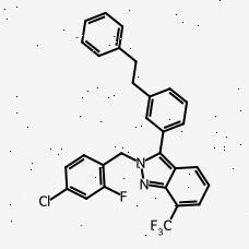 Fc1cc(Cl)ccc1Cn1nc2c(C(F)(F)F)cccc2c1-c1cccc(CCc2ccccc2)c1